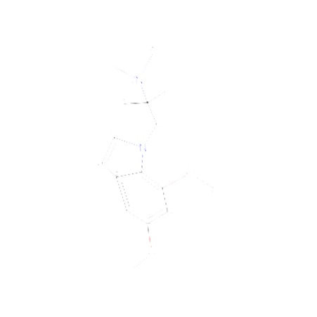 COc1cc(OC)c2c(ccn2CC(C)(C)N(C)C)c1